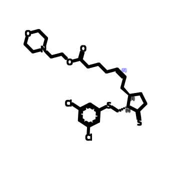 O=C(CCC/C=C\C[C@H]1CCC(=S)[C@@H]1CSc1cc(Cl)cc(Cl)c1)OCCN1CCOCC1